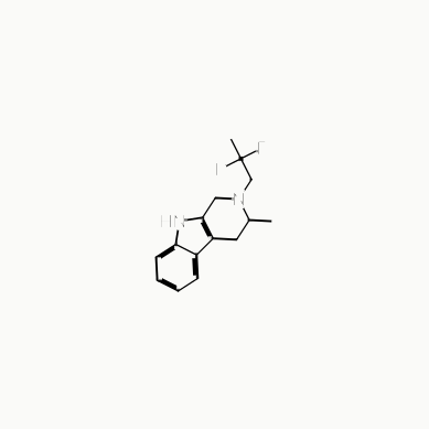 CC1Cc2c([nH]c3ccccc23)CN1CC(C)(F)F